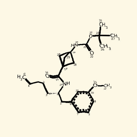 CCCC[C@@H](Cc1cccc(OC)c1)NC(=O)C12CC(NC(=O)OC(C)(C)C)(C1)C2